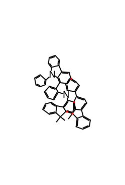 CC1(C)c2ccccc2-c2ccc(-c3ccccc3N(c3ccccc3-c3cccc4c5ccccc5n(-c5ccccc5)c34)c3cccc4c3-c3ccccc3C4(C)C)cc21